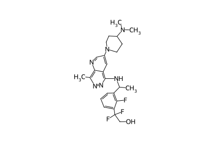 Cc1nnc(NC(C)c2cccc(C(F)(F)CO)c2F)c2cc(N3CCC(N(C)C)CC3)cnc12